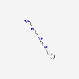 NCCCNCCCCNCCCNCC=Cc1ccccc1